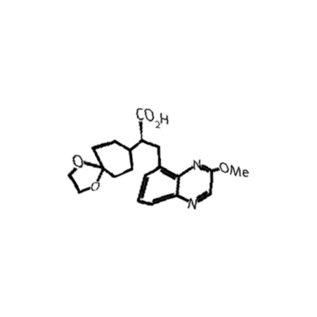 COc1cnc2cccc(C[C@H](C(=O)O)C3CCC4(CC3)OCCO4)c2n1